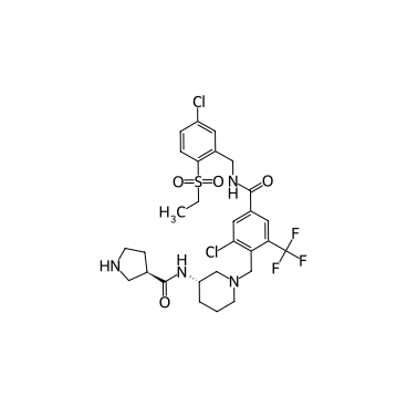 CCS(=O)(=O)c1ccc(Cl)cc1CNC(=O)c1cc(Cl)c(CN2CCC[C@H](NC(=O)[C@@H]3CCNC3)C2)c(C(F)(F)F)c1